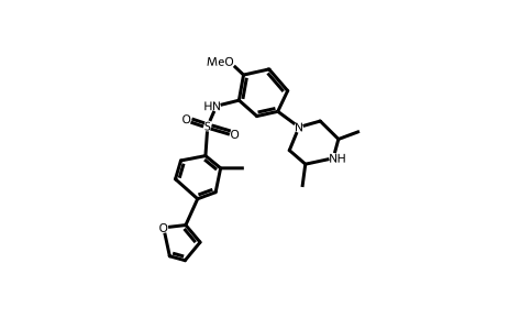 COc1ccc(N2CC(C)NC(C)C2)cc1NS(=O)(=O)c1ccc(-c2ccco2)cc1C